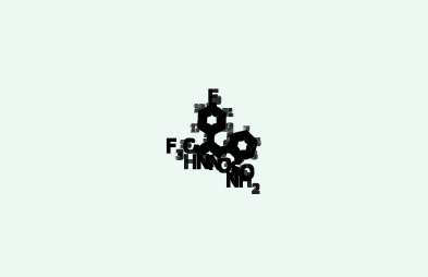 NS(=O)(=O)c1ccccc1-c1n[nH]c(C(F)(F)F)c1-c1ccc(F)cc1